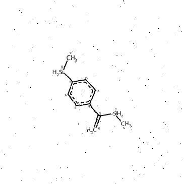 C=C([SiH2]C)c1ccc([SiH2]C)cc1